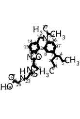 CCCC(CCC)c1ccc(N(Cc2ccc3nc(-c4csc(CNCC(=O)O)n4)oc3c2)C(C)C)cc1